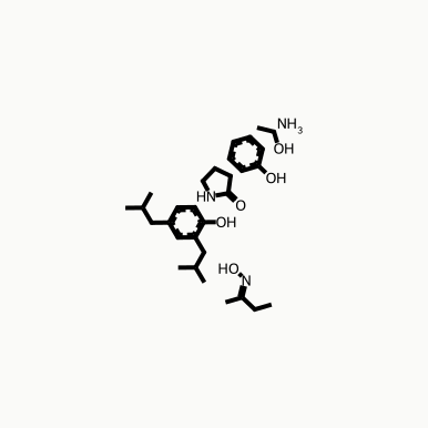 CC(C)Cc1ccc(O)c(CC(C)C)c1.CCC(C)=NO.CCO.N.O=C1CCCN1.Oc1ccccc1